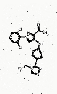 NC(=O)c1nn(-c2c(Cl)cccc2Cl)cc1Nc1ccc(-c2nncn2CC(F)(F)F)cc1